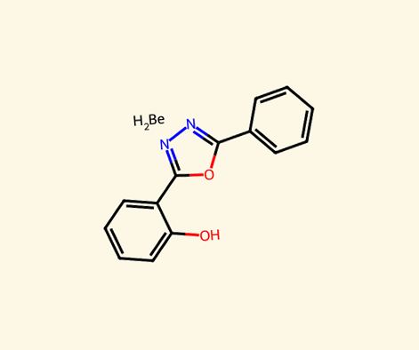 Oc1ccccc1-c1nnc(-c2ccccc2)o1.[BeH2]